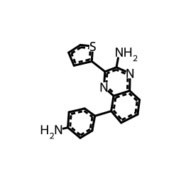 Nc1ccc(-c2cccc3nc(N)c(-c4cccs4)nc23)cc1